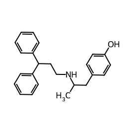 CC(Cc1ccc(O)cc1)NCCC(c1ccccc1)c1ccccc1